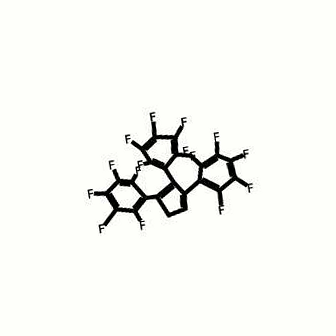 Fc1c(F)c(F)c(C2=CCC(c3c(F)c(F)c(F)c(F)c3F)=C2c2c(F)c(F)c(F)c(F)c2F)c(F)c1F